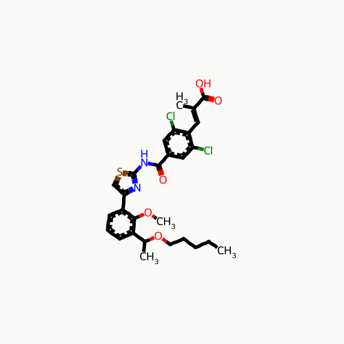 CCCCCOC(C)c1cccc(-c2csc(NC(=O)c3cc(Cl)c(C=C(C)C(=O)O)c(Cl)c3)n2)c1OC